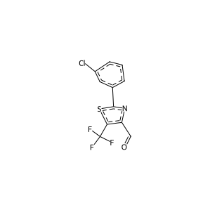 O=Cc1nc(-c2cccc(Cl)c2)sc1C(F)(F)F